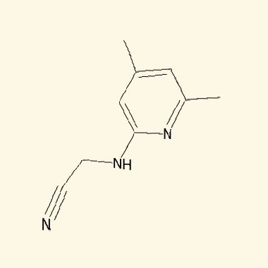 Cc1cc(C)nc(NCC#N)c1